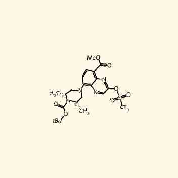 COC(=O)c1ccc(N2C[C@@H](C)N(C(=O)OC(C)(C)C)[C@@H](C)C2)c2ncc(OS(=O)(=O)C(F)(F)F)nc12